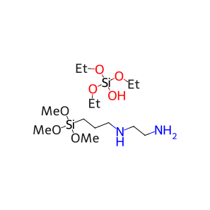 CCO[Si](O)(OCC)OCC.CO[Si](CCCNCCN)(OC)OC